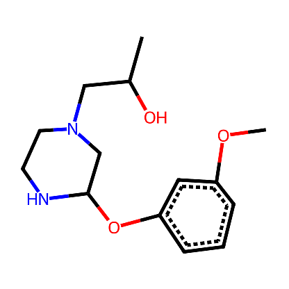 COc1cccc(OC2CN(CC(C)O)CCN2)c1